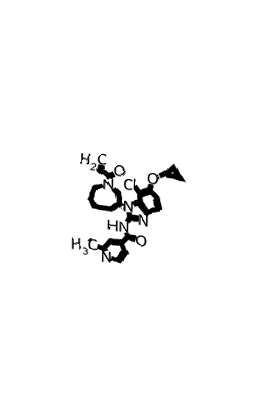 C=CC(=O)N1CCCC[C@@H](n2c(NC(=O)c3ccnc(C)c3)nc3ccc(OC4CC4)c(Cl)c32)C1